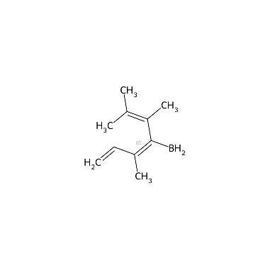 B/C(C(C)=C(C)C)=C(\C)C=C